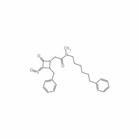 CN(CCCCCCc1ccccc1)C(=O)CN1C(=O)C(=S=O)C1Cc1ccccc1